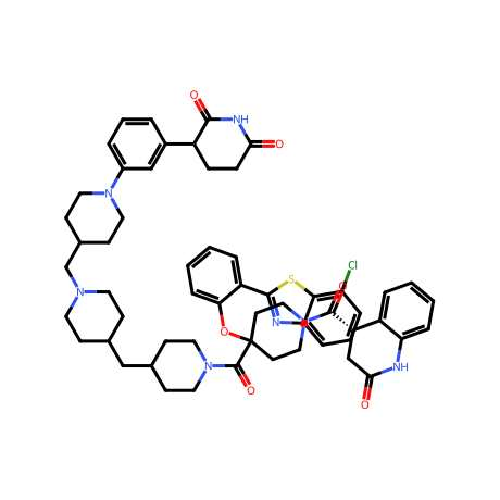 O=C1CCC(c2cccc(N3CCC(CN4CCC(CC5CCN(C(=O)C6(Oc7ccccc7-c7nc8cccc(Cl)c8s7)CCN(C(=O)[C@H]7CC(=O)Nc8ccccc87)CC6)CC5)CC4)CC3)c2)C(=O)N1